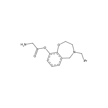 CC(C)CN1CCOc2c(cccc2OC(=O)CN)C1